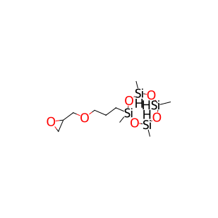 C[SiH]1O[SiH](C)O[Si](C)(CCCOCC2CO2)O[SiH](C)O1